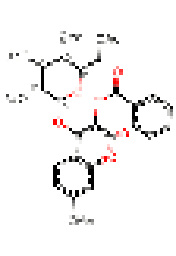 COc1ccc2c(O[C@H]3O[C@H](COC(C)=O)[C@@H](OC(C)=O)[C@H](OC(C)=O)[C@H]3OC(C)=O)c(OC(=O)c3ccccc3)c(=O)oc2c1